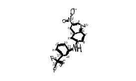 O=[N+]([O-])c1cnc2ccc(Nc3cccc(C(F)(F)F)c3)cc2c1